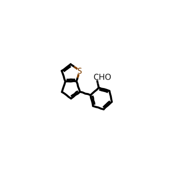 O=Cc1ccccc1C1=CCc2ccsc21